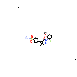 CC1(C)C(C(=O)Nc2c(F)cccc2OC(F)(F)F)C1c1ccc(S(N)(=O)=O)cc1